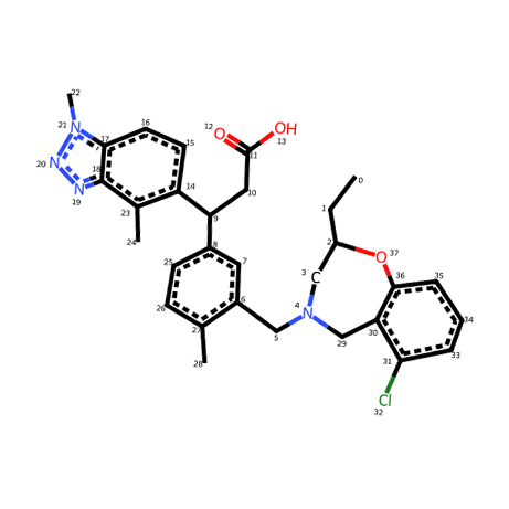 CCC1CN(Cc2cc(C(CC(=O)O)c3ccc4c(nnn4C)c3C)ccc2C)Cc2c(Cl)cccc2O1